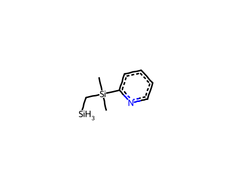 C[Si](C)(C[SiH3])c1ccccn1